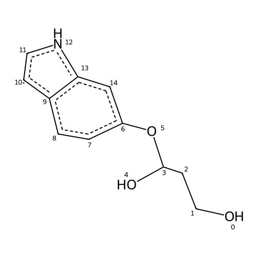 OCCC(O)Oc1ccc2[c]c[nH]c2c1